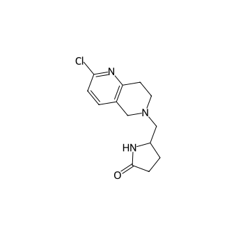 O=C1CCC(CN2CCc3nc(Cl)ccc3C2)N1